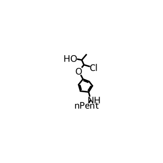 CCCCCNc1ccc(OC(Cl)C(C)O)cc1